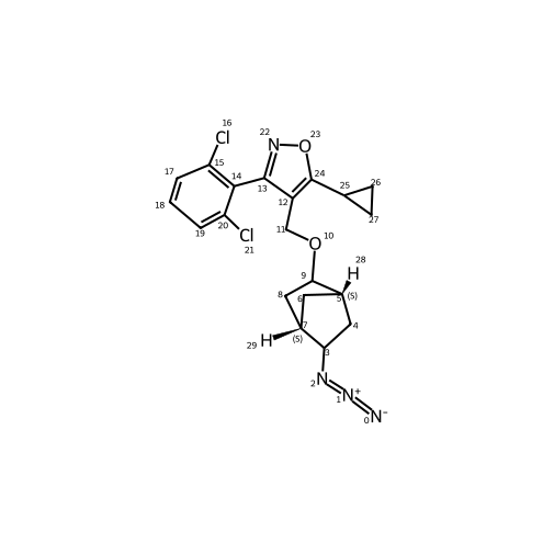 [N-]=[N+]=NC1C[C@@H]2C[C@H]1CC2OCc1c(-c2c(Cl)cccc2Cl)noc1C1CC1